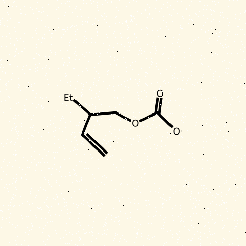 C=CC(CC)COC([O])=O